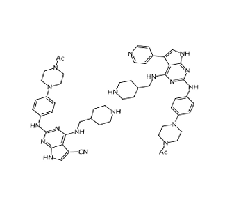 CC(=O)N1CCN(c2ccc(Nc3nc(NCC4CCNCC4)c4c(-c5ccncc5)c[nH]c4n3)cc2)CC1.CC(=O)N1CCN(c2ccc(Nc3nc(NCC4CCNCC4)c4c(C#N)c[nH]c4n3)cc2)CC1